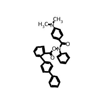 CN(C)c1ccc(C(=O)N(OC(=O)c2ccccc2-c2ccc(-c3ccccc3)cc2)c2ccccc2)cc1